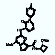 CNc1cc(Nc2cccn(-c3ccc(C)nc3)c2=O)nc2c(C(=O)NC3CC[C@H]3OC)cnn12